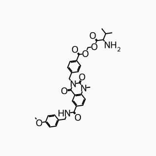 COc1ccc(CNC(=O)c2ccc3c(c2)c(=O)n(Cc2ccc(C(=O)OCOC(=O)C(N)C(C)C)cc2)c(=O)n3C)cc1